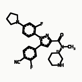 CN(C(=O)c1cc(-c2ccc(C#N)c(F)c2)n(-c2ccc(N3CCCC3)cc2F)n1)[C@@H]1CCCNC1